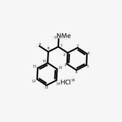 CNC(c1ccccc1)C(C)c1ccccc1.Cl